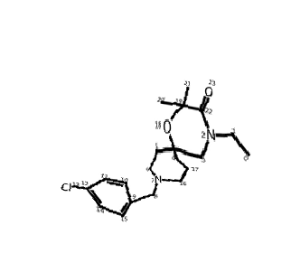 CCN1CC2(CCN(Cc3ccc(Cl)cc3)CC2)OC(C)(C)C1=O